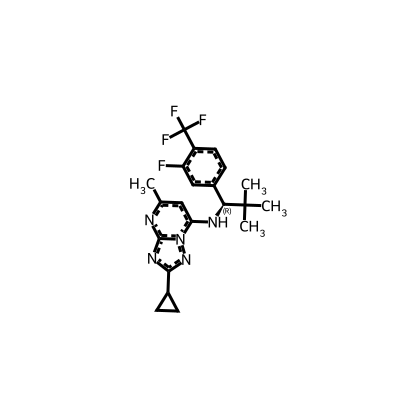 Cc1cc(N[C@@H](c2ccc(C(F)(F)F)c(F)c2)C(C)(C)C)n2nc(C3CC3)nc2n1